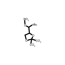 CCCCC(O[N+](=O)[O-])C1COC(C(Cl)(Cl)Cl)(C(Cl)(Cl)Cl)O1